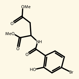 COC(=O)CC(NC(=O)c1ccc(Br)cc1O)C(=O)OC